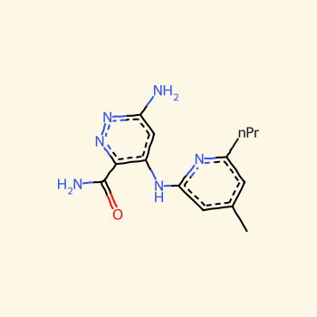 CCCc1cc(C)cc(Nc2cc(N)nnc2C(N)=O)n1